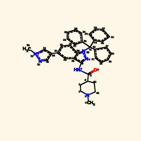 CN1CCC(C(=O)Nc2nn(C(c3ccccc3)(c3ccccc3)c3ccccc3)c3ccc(-c4cnn(C)c4)cc23)CC1